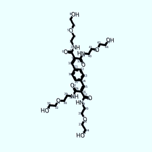 O=C(NCCOCCO)C(=Cc1ccc(C=C(C(=O)NCCOCCO)C(=O)NCCOCCO)cc1)C(=O)NCCOCCO